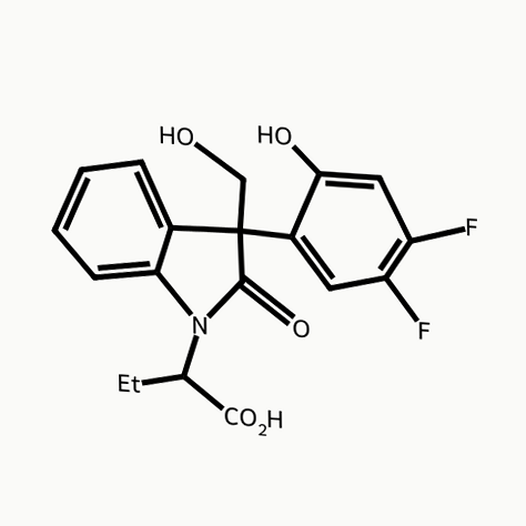 CCC(C(=O)O)N1C(=O)C(CO)(c2cc(F)c(F)cc2O)c2ccccc21